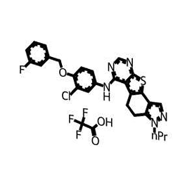 CCCn1ncc2c1CCc1c-2sc2ncnc(Nc3ccc(OCc4cccc(F)c4)c(Cl)c3)c12.O=C(O)C(F)(F)F